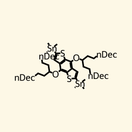 CCCCCCCCCCCCC(CCCCCCCCCCCC)Oc1c2c[c]([Sn]([CH3])([CH3])[CH3])sc2c(OC(CCCCCCCCCCCC)CCCCCCCCCCCC)c2c[c]([Sn]([CH3])([CH3])[CH3])sc12